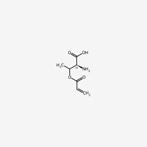 C=CC(=O)OC(C)[C@H](N)C(=O)O